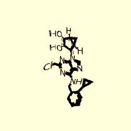 O[C@@H]1[C@H](O)[C@@H]2C[C@@H]2[C@H]1n1cnc2c(NCc3ccccc3C3CC3)nc(Cl)nc21